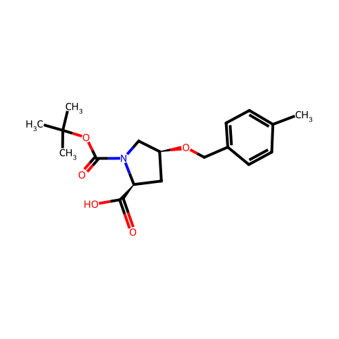 Cc1ccc(CO[C@H]2C[C@@H](C(=O)O)N(C(=O)OC(C)(C)C)C2)cc1